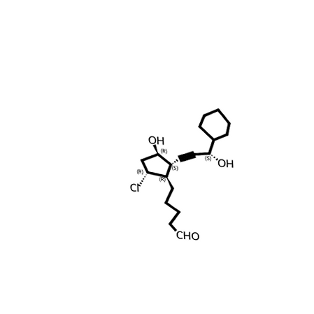 O=CCCCC[C@@H]1[C@@H](C#C[C@@H](O)C2CCCCC2)[C@H](O)C[C@H]1Cl